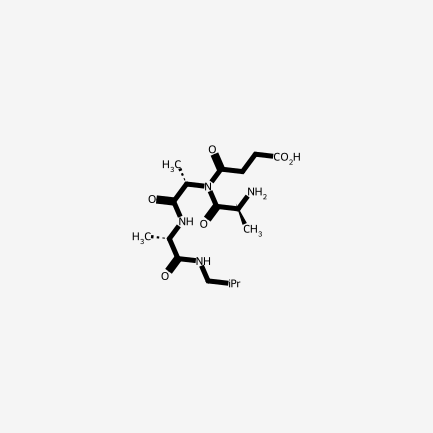 CC(C)CNC(=O)[C@H](C)NC(=O)[C@H](C)N(C(=O)CCC(=O)O)C(=O)[C@H](C)N